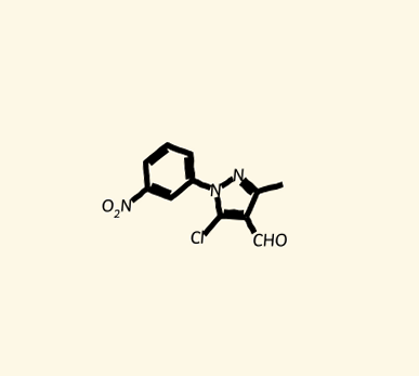 Cc1nn(-c2cccc([N+](=O)[O-])c2)c(Cl)c1C=O